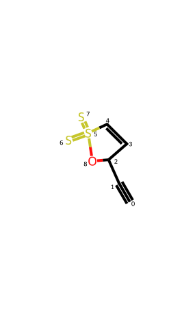 C#CC1C=CS(=S)(=S)O1